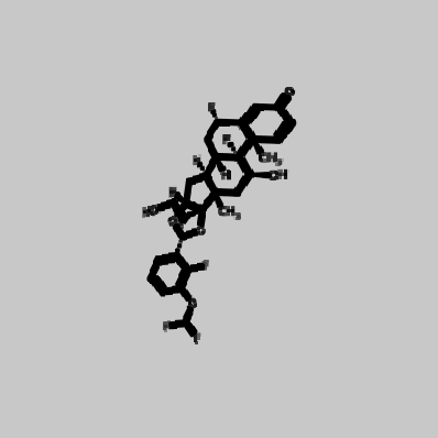 C[C@]12C=CC(=O)C=C1[C@@H](F)C[C@H]1[C@@H]3C[C@H]4O[C@@H](c5cccc(OC(F)F)c5F)O[C@@]4(C(=O)CO)[C@@]3(C)C[C@H](O)[C@@]12F